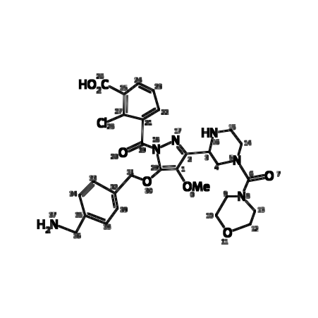 COc1c(C2CN(C(=O)N3CCOCC3)CCN2)nn(C(=O)c2cccc(C(=O)O)c2Cl)c1OCc1ccc(CN)cc1